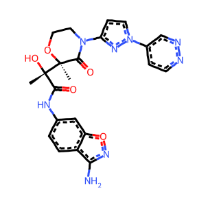 C[C@](O)(C(=O)Nc1ccc2c(N)noc2c1)[C@@]1(C)OCCN(c2ccn(-c3ccnnc3)n2)C1=O